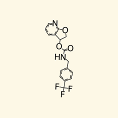 O=C(NCc1ccc(C(F)(F)F)cc1)OC1COc2ncccc21